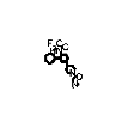 CN(C)CC(=O)N1CCC(c2ccc(NC(=O)C(F)(F)F)c(C3=CCCCCC3)c2)CC1